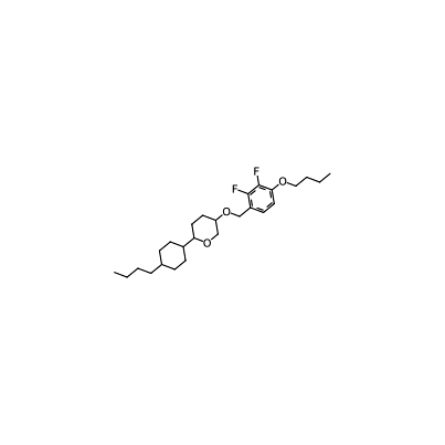 CCCCOc1ccc(COC2CCC(C3CCC(CCCC)CC3)OC2)c(F)c1F